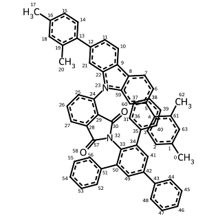 Cc1ccc(-c2ccc3c4ccc(-c5ccc(C)cc5C)cc4n(-c4cccc5c4C(=O)N(c4c(-c6ccccc6)cc(-c6ccccc6)cc4-c4ccccc4)C5=O)c3c2)c(C)c1